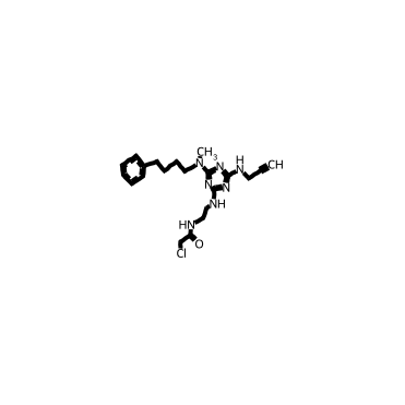 C#CCNc1nc(NCCNC(=O)CCl)nc(N(C)CCCCc2ccccc2)n1